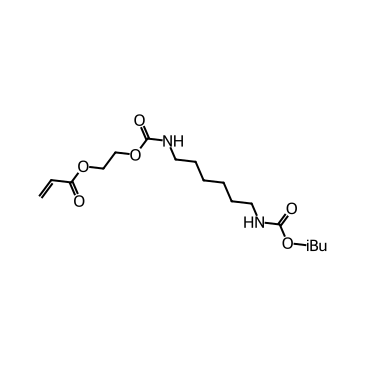 C=CC(=O)OCCOC(=O)NCCCCCCNC(=O)OC(C)CC